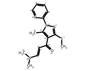 CSc1nn(-c2ccccn2)c(C)c1C(=O)C=CN(C)C